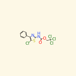 O=C(Nc1nc(-c2ccccc2)c(Cl)s1)OCC(Cl)(Cl)Cl